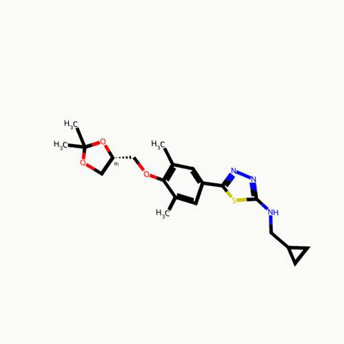 Cc1cc(-c2nnc(NCC3CC3)s2)cc(C)c1OC[C@@H]1COC(C)(C)O1